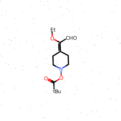 CCOC(C=O)=C1CCN(OC(=O)C(C)(C)C)CC1